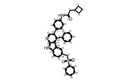 O=C(CC1CCC1)Nc1ccc(-c2cnc3[nH]c4ccc(CS(=O)(=O)c5ccccc5)cc4c3c2-c2ccccc2)cc1